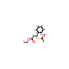 CCOC(=O)CC(SC(C)=O)c1ccccc1